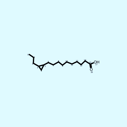 CCCC1CC1CCCCCCCCCC(=O)O